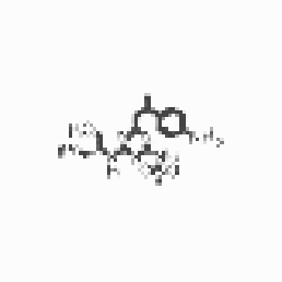 CC(C)C[C@H](CO)Nc1nc(CC(C)c2ccc(N)cc2)nc(NS(C)(=O)=O)n1